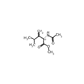 C=C(C(C)C)[C@H](NC(C)=O)C(=O)OC